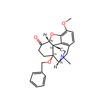 COc1ccc2c3c1O[C@H]1C(=O)CC[C@@]4(OCc5ccccc5)[C@@H](C2)N(C)CC[C@]314